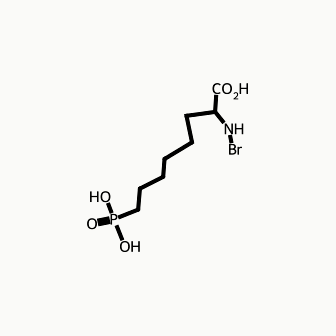 O=C(O)C(CCCCCCP(=O)(O)O)NBr